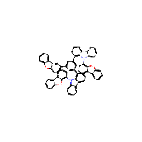 C1=c2c(oc3ccccc23)=C(n2c3ccccc3c3cccc(-c4cc(-c5ccc6oc7ccccc7c6c5)cc(-c5cccc6c7ccccc7n(-c7cccc8c7oc7ccccc78)c56)c4)c32)CC1